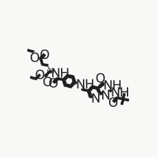 CCOC(=O)CC[C@H](NC(=O)c1ccc(NCc2cnc3nc(NC(=O)C(C)(C)C)[nH]c(=O)c3c2)cc1)C(=O)OCC